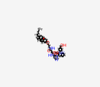 CC(C)CCC[C@@H](C)[C@H]1CC[C@@H]2[C@]1(C)CC[C@H]1[C@@]2(C)CC=C2C[C@@H](OCCCNC(=O)CCC(=O)N[C@@H](CC(C)C)C(=O)N[C@@H](Cc3ccccc3)C(=O)Nc3ccc(CO)cc3)CC[C@@]21C